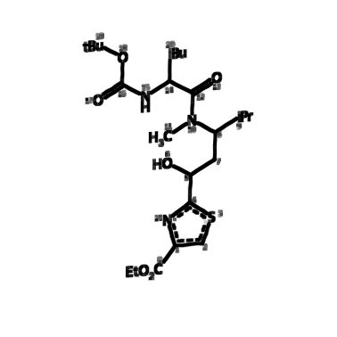 CCOC(=O)c1csc(C(O)CC(C(C)C)N(C)C(=O)C(NC(=O)OC(C)(C)C)C(C)CC)n1